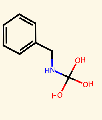 OC(O)(O)NCc1ccccc1